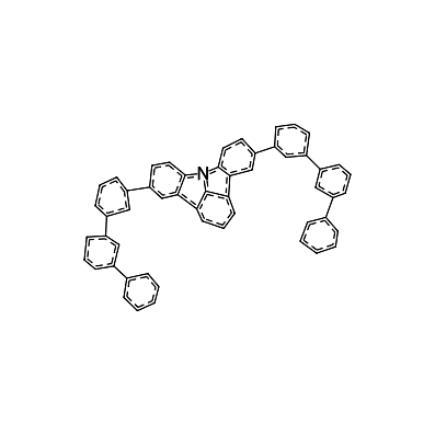 c1ccc(-c2cccc(-c3cccc(-c4ccc5c(c4)c4cccc6c7cc(-c8cccc(-c9cccc(-c%10ccccc%10)c9)c8)ccc7n5c46)c3)c2)cc1